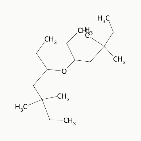 CCC(CC(C)(C)CC)OC(CC)CC(C)(C)CC